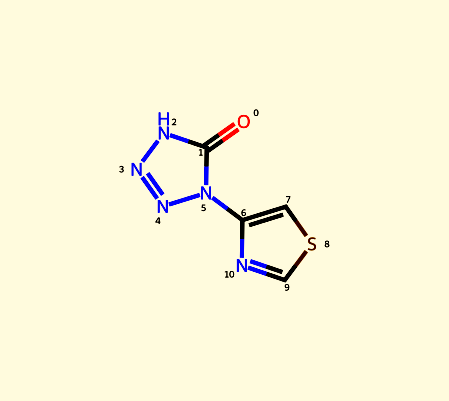 O=c1[nH]nnn1-c1cscn1